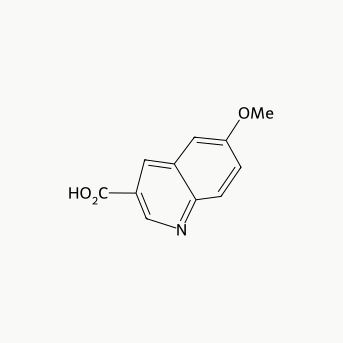 COc1ccc2ncc(C(=O)O)cc2c1